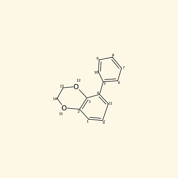 [c]1cc2c(c(-c3ccccc3)c1)OCCO2